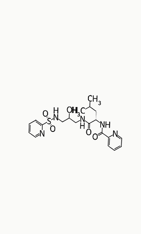 CC(C)C[C@H](NC(=O)c1ccccn1)C(=O)NCC(O)CNS(=O)(=O)c1ccccn1